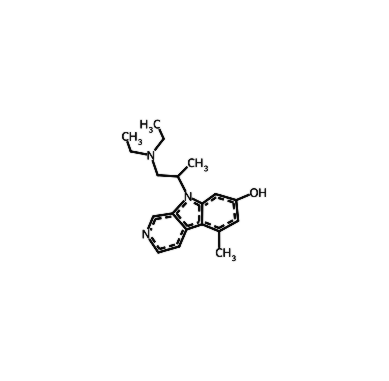 CCN(CC)CC(C)n1c2cnccc2c2c(C)cc(O)cc21